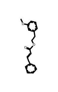 COc1cccc(CCOC(=O)/C=C/c2ccccc2)c1